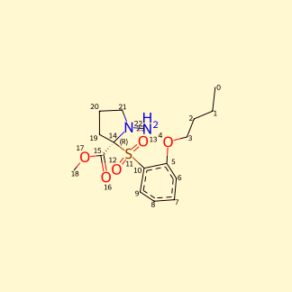 CCCCOc1ccccc1S(=O)(=O)[C@@]1(C(=O)OC)CCCN1N